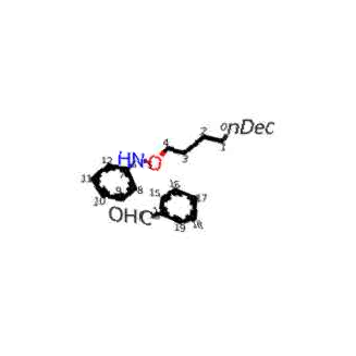 CCCCCCCCCCCCCCONc1ccccc1.O=Cc1ccccc1